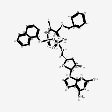 C[C@H](NP(=O)(Oc1cccc2ccccc12)OP(=O)(O)OC[C@@H]1C[C@@H](F)C(n2cnc3c(N)nc(Cl)nc32)O1)C(=O)OCc1ccccc1